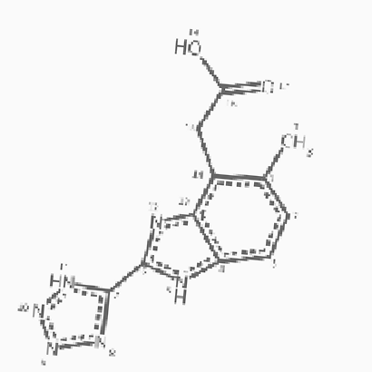 Cc1ccc2[nH]c(-c3nnn[nH]3)nc2c1CC(=O)O